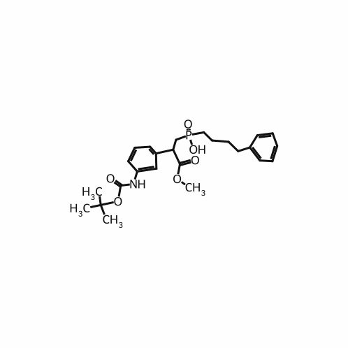 COC(=O)C(CP(=O)(O)CCCCc1ccccc1)c1cccc(NC(=O)OC(C)(C)C)c1